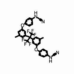 Cc1cc(Oc2ccc(NC#N)cc2)cc(C(c2cc(C)cc(Oc3ccc(NC#N)cc3)c2)(C(F)(F)F)C(F)(F)F)c1